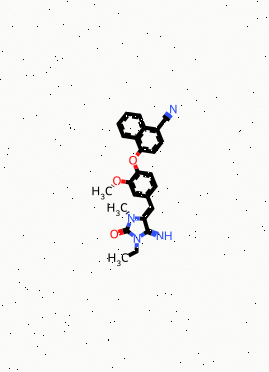 CCN1C(=N)C(=Cc2ccc(Oc3ccc(C#N)c4ccccc34)c(OC)c2)N(C)C1=O